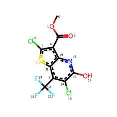 COC(=O)c1c(Cl)sc2c(C(F)(F)F)c(Cl)c(O)nc12